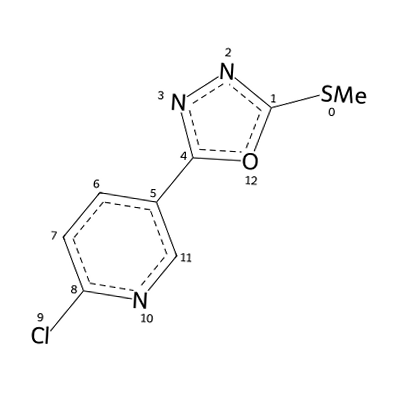 CSc1nnc(-c2ccc(Cl)nc2)o1